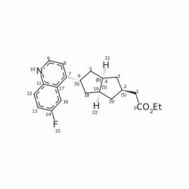 CCOC(=O)C[C@@H]1C[C@@H]2C[C@@H](c3ccnc4ccc(F)cc34)C[C@@H]2C1